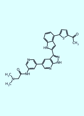 CC(=O)c1ccc(-c2cccc3[nH]c(-c4n[nH]c5ncc(-c6cncc(NC(=O)CN(C)C)c6)cc45)cc23)s1